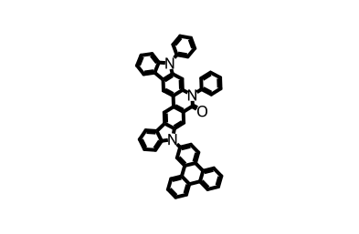 O=c1c2cc3c(cc2c2cc4c5ccccc5n(-c5ccccc5)c4cc2n1-c1ccccc1)c1ccccc1n3-c1ccc2c3ccccc3c3ccccc3c2c1